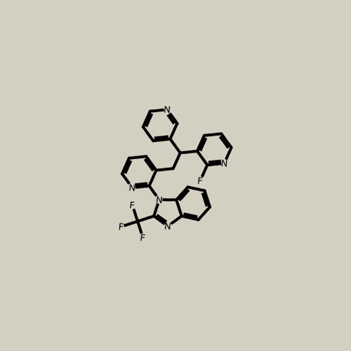 Fc1ncccc1C(Cc1cccnc1-n1c(C(F)(F)F)nc2ccccc21)c1cccnc1